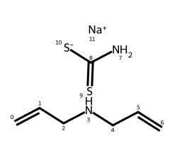 C=CCNCC=C.NC(=S)[S-].[Na+]